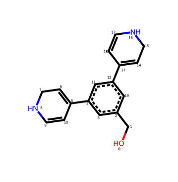 OCc1cc(C2=CCNC=C2)cc(C2=CCNC=C2)c1